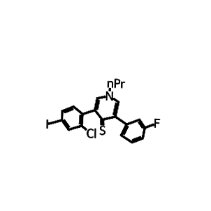 CCCn1cc(-c2cccc(F)c2)c(=S)c(-c2ccc(I)cc2Cl)c1